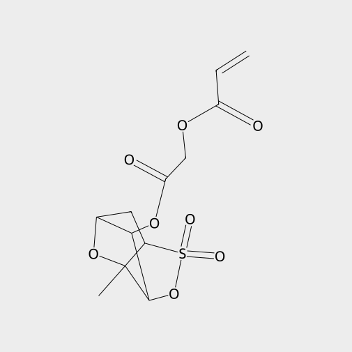 C=CC(=O)OCC(=O)OC1C2CC3C(C)(O2)C1OS3(=O)=O